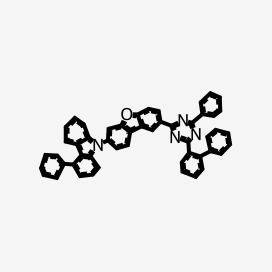 c1ccc(-c2nc(-c3ccc4oc5cc(-n6c7ccccc7c7c(-c8ccccc8)cccc76)ccc5c4c3)nc(-c3ccccc3-c3ccccc3)n2)cc1